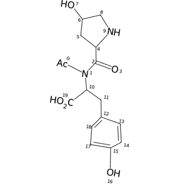 CC(=O)N(C(=O)C1CC(O)CN1)C(Cc1ccc(O)cc1)C(=O)O